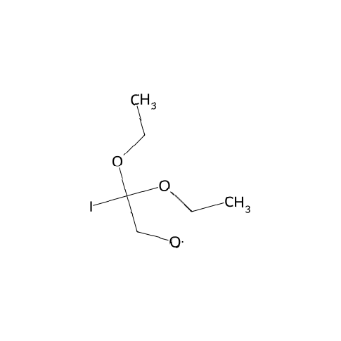 CCOC(I)(C[O])OCC